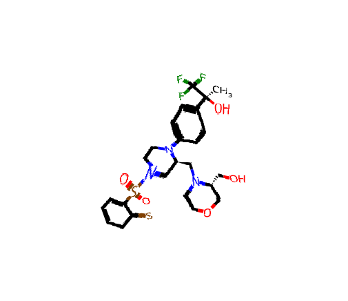 C[C@](O)(c1ccc(N2CCN(S(=O)(=O)C3=CC=CCC3=S)C[C@@H]2CN2CCOC[C@H]2CO)cc1)C(F)(F)F